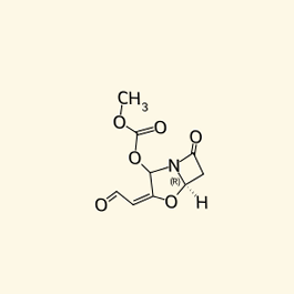 COC(=O)OC1C(=CC=O)O[C@@H]2CC(=O)N12